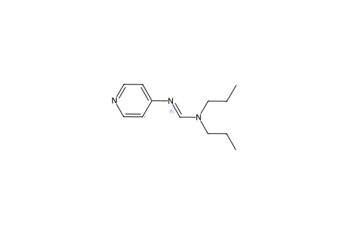 CCCN(/C=N/c1[c]cncc1)CCC